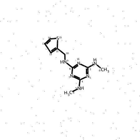 CNc1nc(NC)nc(NCc2cccs2)n1